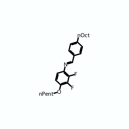 CCCCCCCCc1ccc(C=Nc2ccc(OCCCCC)c(F)c2F)cc1